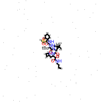 C=CCCNC(=O)C(=O)C(CC1CCC1)NC(=O)[C@@H]1C2[C@H](CN1C(=O)[C@@H](NC(=O)NC1(CS(C)(=O)=O)CCCCC1)C(C)(C)C)C2(C)C